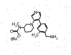 Cc1cc(-c2ccncc2N2CCCC(N(C)C(=O)OC(C)(C)C)C2)ccc1CN